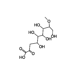 COC(CO)C(O)C(O)C(O)C(O)CC(=O)C(=O)O